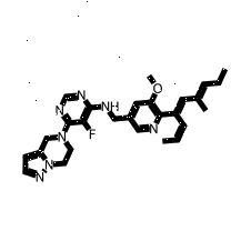 C\C=C/C(=C\C(C)=C\CC)c1ncc(CNc2ncnc(N3CCn4nccc4C3)c2F)cc1OC